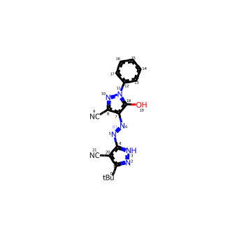 CC(C)(C)c1n[nH]c(/N=N/c2c(C#N)nn(-c3ccccc3)c2O)c1C#N